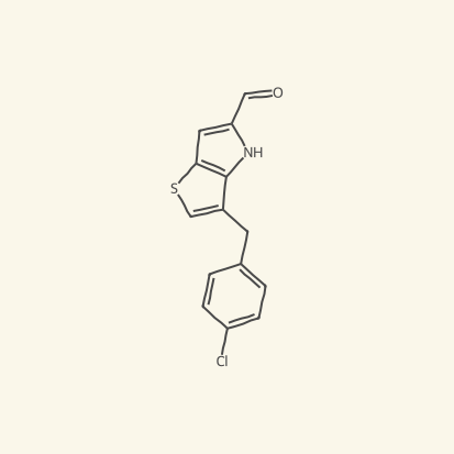 O=Cc1cc2scc(Cc3ccc(Cl)cc3)c2[nH]1